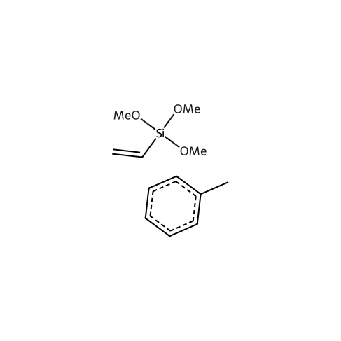 C=C[Si](OC)(OC)OC.Cc1ccccc1